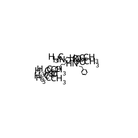 CNc1ccc(C(=O)N[C@@H](CCc2ccccc2)C(=O)OC(C)(C)C)cc1CCc1ccc(O[Si](C(C)C)(C(C)C)C(C)C)cc1